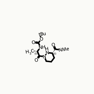 CNC(=O)[C@@H]1CCCN(C(=O)[C@H](C)NC(=O)OC(C)(C)C)N1